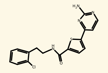 Nc1nccc(-c2ccc(C(=O)NCCc3ccccc3Cl)s2)n1